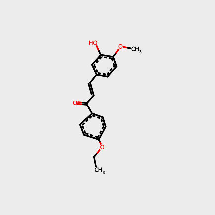 CCOc1ccc(C(=O)C=Cc2ccc(OC)c(O)c2)cc1